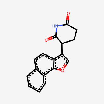 O=C1CCC(c2coc3c2ccc2ccccc23)C(=O)N1